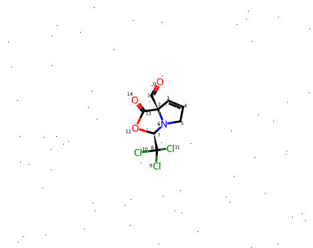 O=C[C@@]12C=CCN1[C@@H](C(Cl)(Cl)Cl)OC2=O